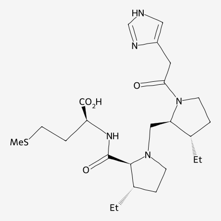 CC[C@H]1CCN(C[C@@H]2[C@@H](CC)CCN2C(=O)Cc2c[nH]cn2)[C@@H]1C(=O)N[C@@H](CCSC)C(=O)O